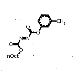 CCCCCCCCOC(=O)N=NC(=O)Oc1cccc(C)c1